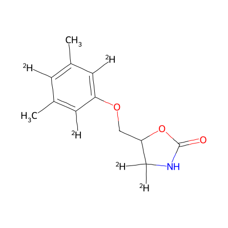 [2H]c1c(C)c([2H])c(OCC2OC(=O)NC2([2H])[2H])c([2H])c1C